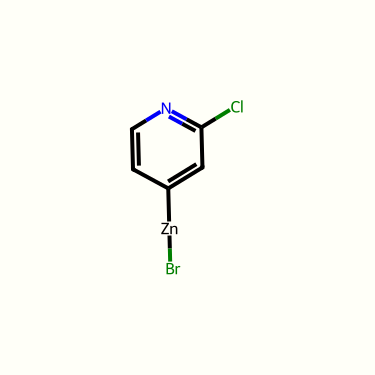 Clc1c[c]([Zn][Br])ccn1